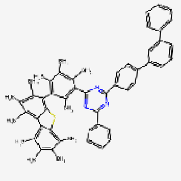 Bc1c(B)c(-c2nc(-c3ccccc3)nc(-c3ccc(-c4cccc(-c5ccccc5)c4)cc3)n2)c(B)c(-c2c(B)c(B)c(B)c3c2sc2c(B)c(B)c(B)c(B)c23)c1B